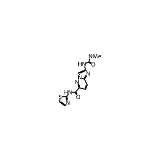 CNC(=O)Nc1cn2nc(C(=O)Nc3nccs3)ccc2n1